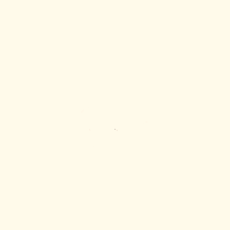 FC(F)(F)c1ccccc1Nc1cccc(C2CCC2)c1